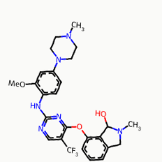 COc1cc(N2CCN(C)CC2)ccc1Nc1ncc(C(F)(F)F)c(Oc2cccc3c2C(O)N(C)C3)n1